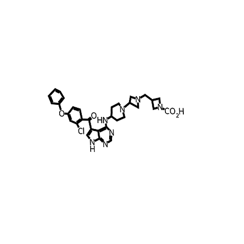 O=C(c1ccc(Oc2ccccc2)cc1Cl)c1c[nH]c2ncnc(NC3CCN(C4CN(CC5CN(C(=O)O)C5)C4)CC3)c12